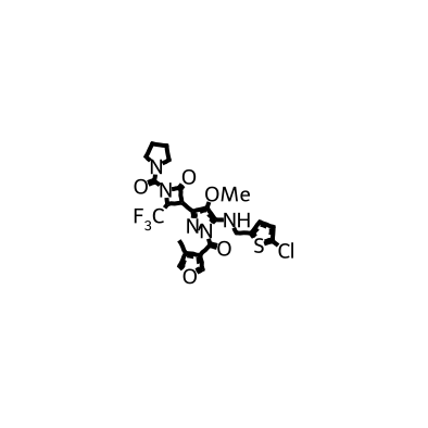 COc1c(C2C(=O)N(C(=O)N3CCCC3)C2C(F)(F)F)nn(C(=O)c2cocc2C)c1NCc1ccc(Cl)s1